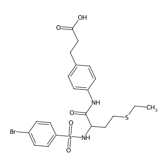 CCSCCC(NS(=O)(=O)c1ccc(Br)cc1)C(=O)Nc1ccc(CCC(=O)O)cc1